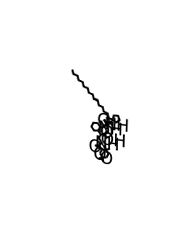 CCCCCCCCCC=CCCCCCC1(NC(=O)NC2CCCCC2C(CNC(=O)C2OC(C)(C)OCC2(C)C)C(=O)O)CCCC1